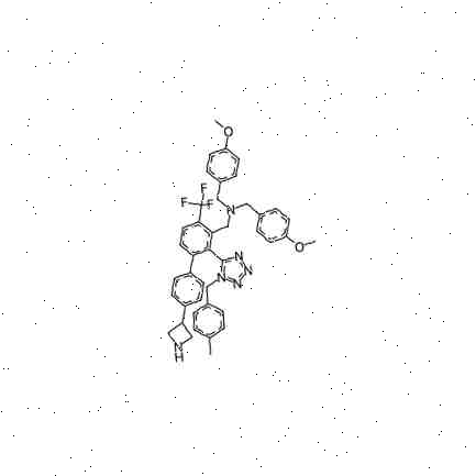 COc1ccc(CN(Cc2ccc(OC)cc2)Cc2c(C(F)(F)F)ccc(-c3ccc(C4CNC4)cc3)c2-c2nnnn2Cc2ccc(C)cc2)cc1